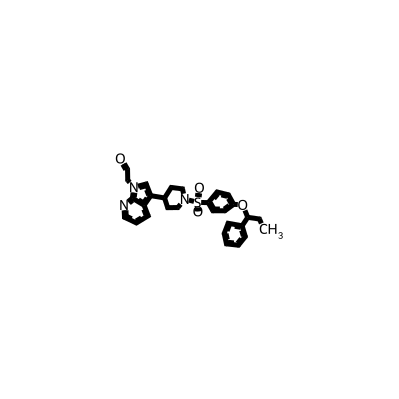 CCC(Oc1ccc(S(=O)(=O)N2CCC(c3cn(CC=O)c4ncccc34)CC2)cc1)c1ccccc1